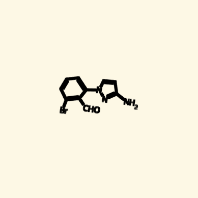 Nc1ccn(-c2cccc(Br)c2C=O)n1